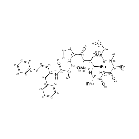 CC[C@H](C)[C@@H]([C@@H](CC(=O)N1CCC[C@H]1[C@H](OC)[C@@H](C)C(=O)N[C@H](/C=C\Cc1ccccc1)Cc1ccccc1)OC)N(C)[C@H](C(=O)NC(=O)[C@H](C(C)C)N(C)CCCC(=O)O)C(C)C